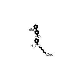 CCCCCCCCCCCCCCCCOC(C)c1ccc(OC(=O)c2ccc(-c3ccccc3CCCC)cc2)cc1